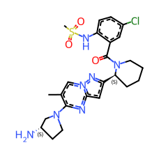 Cc1cn2nc([C@@H]3CCCCN3C(=O)c3cc(Cl)ccc3NS(C)(=O)=O)cc2nc1N1CC[C@H](N)C1